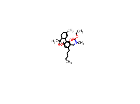 C=C(C)C1CCC(C)=CC1c1c(O)cc(CCCCC)c(CN(C)C(=O)OCC)c1O